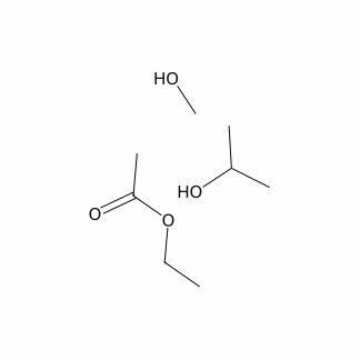 CC(C)O.CCOC(C)=O.CO